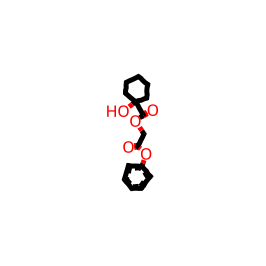 O=C(COC(=O)C1(O)CCCCC1)Oc1ccccc1